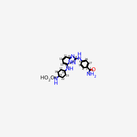 NC(=O)c1ccc(Nc2nc3cccc(NC4CCC(NC(=O)O)CC4)n3n2)cc1